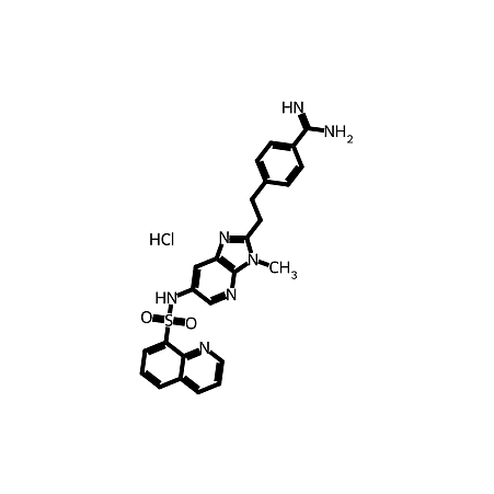 Cl.Cn1c(CCc2ccc(C(=N)N)cc2)nc2cc(NS(=O)(=O)c3cccc4cccnc34)cnc21